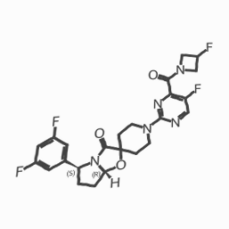 O=C(c1nc(N2CCC3(CC2)O[C@@H]2CC[C@@H](c4cc(F)cc(F)c4)N2C3=O)ncc1F)N1CC(F)C1